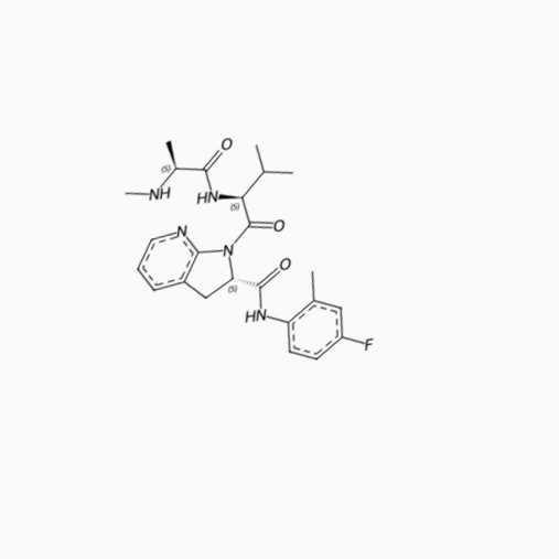 CN[C@@H](C)C(=O)N[C@H](C(=O)N1c2ncccc2C[C@H]1C(=O)Nc1ccc(F)cc1C)C(C)C